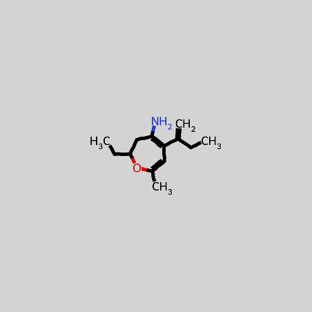 C=C(CC)C1=C(N)CC(CC)OC(C)=C1